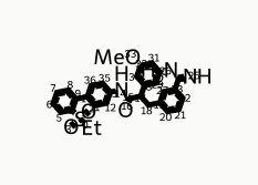 CCS(=O)(=O)c1ccccc1-c1ccc(NC(=O)C(Cc2cccc(C(=N)N)c2)c2cccc(OC)c2)cc1